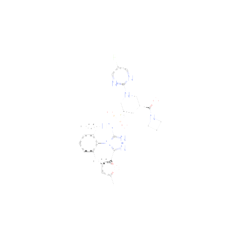 COc1cccc(OC)c1-n1c(NS(=O)(=O)[C@@H]2C[C@H](C(=O)N3CCC3)CN(c3ncc(F)cn3)C2)nnc1-c1ccc(C)o1